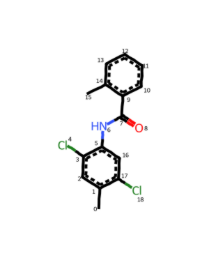 Cc1cc(Cl)c(NC(=O)c2ccccc2C)cc1Cl